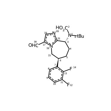 CC(C)(C)N(C(=O)O)[C@@H]1CC[C@@H](c2cccc(F)c2F)Cn2c(C=O)cnc21